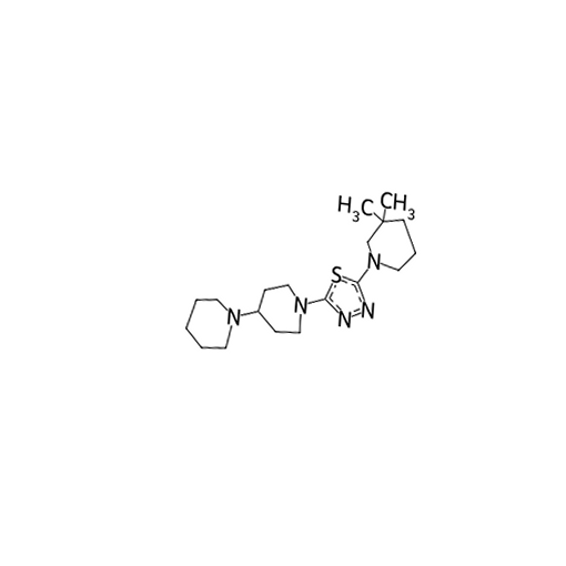 CC1(C)CCCN(c2nnc(N3CCC(N4CCCCC4)CC3)s2)C1